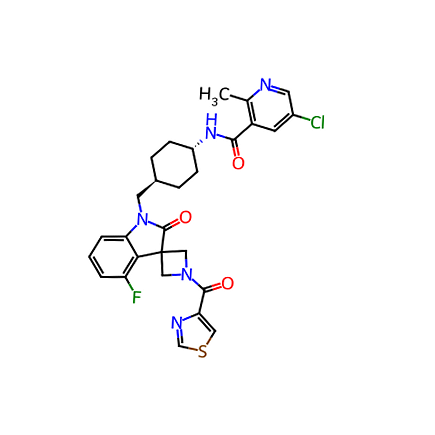 Cc1ncc(Cl)cc1C(=O)N[C@H]1CC[C@H](CN2C(=O)C3(CN(C(=O)c4cscn4)C3)c3c(F)cccc32)CC1